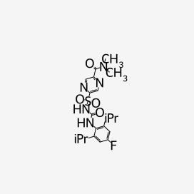 CC(C)c1cc(F)cc(C(C)C)c1NC(=O)NS(=O)(=O)c1cnc(C(=O)N(C)C)cn1